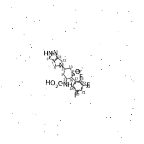 O=C(O)NC1C[C@@H](N2Cc3c[nH]nc3C2)C[S+]([O-])C1c1cc(F)cc(F)c1F